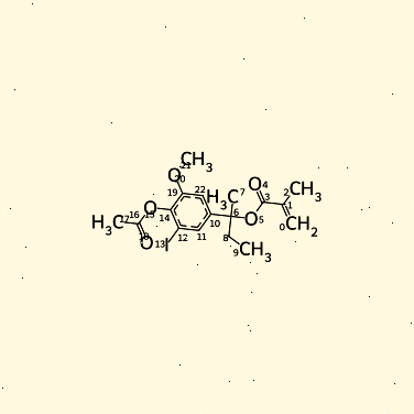 C=C(C)C(=O)OC(C)(CC)c1cc(I)c(OC(C)=O)c(OC)c1